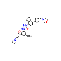 CC(C)(C)c1cc(NC(=O)Nc2ccc(-c3ccc(CN4CCOCC4)cc3)c3ccccc23)c2occ(CCN3CCCC3)c2c1